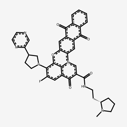 CN1CCC[C@H]1CCNC(=O)c1cn2c3cc4c(=O)c5ccccc5c(=O)c4cc3oc3c(N4CCC(c5cnccn5)C4)c(F)cc(c1=O)c32